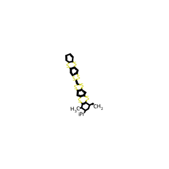 C=CC1CC(C(C)C)C(C)C2=C1Sc1cc3c(cc1S2)SC(=C1Sc2cc4c(cc2S1)SC1C=CC=CC1S4)S3